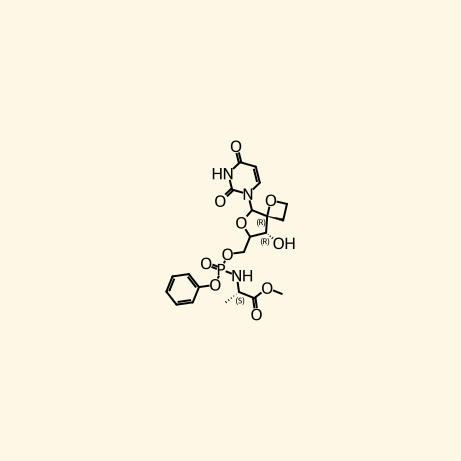 COC(=O)[C@H](C)NP(=O)(OCC1OC(n2ccc(=O)[nH]c2=O)[C@@]2(CCO2)[C@@H]1O)Oc1ccccc1